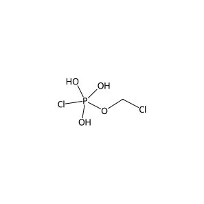 OP(O)(O)(Cl)OCCl